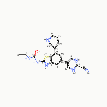 CCNC(=O)Nc1nc2cc(-c3cnc(C#N)nc3)cc(-c3cccnc3)c2s1